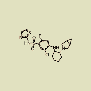 O=S(=O)(Nc1nccs1)c1cc(Cl)c(N[C@@H]2CCCC[C@H]2N2CC3CC3C2)cc1F